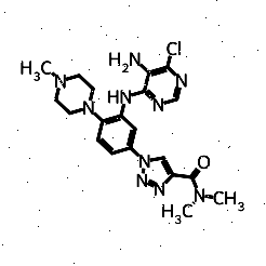 CN1CCN(c2ccc(-n3cc(C(=O)N(C)C)nn3)cc2Nc2ncnc(Cl)c2N)CC1